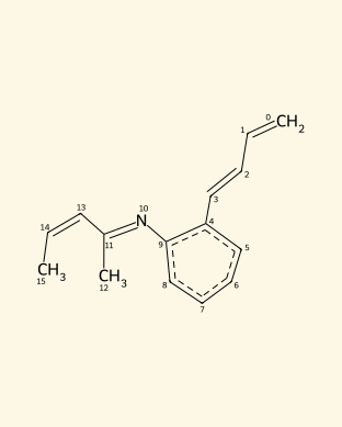 C=C/C=C/c1ccccc1/N=C(C)/C=C\C